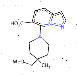 COCC1(C)CCN(c2c(C(=O)O)ccc3ccnn23)CC1